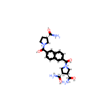 NC(=O)[C@H]1CCN(C(=O)c2ccc3cc(C(=O)N4C[C@@H](C(N)=O)[C@H](C(N)=O)C4)ccc3c2)C1